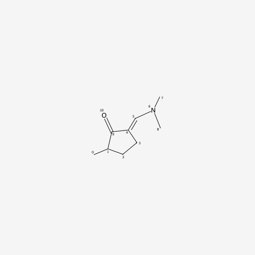 CC1CCC(=CN(C)C)C1=O